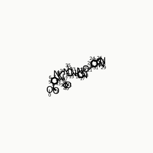 COC(=O)c1ccc2nc(CN3CCN(c4ccnc(OCc5ccc6cnn(C)c6c5)n4)C[C@@H]3C)n(C[C@@H]3CCO3)c2c1